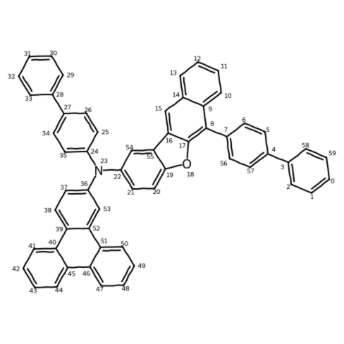 c1ccc(-c2ccc(-c3c4ccccc4cc4c3oc3ccc(N(c5ccc(-c6ccccc6)cc5)c5ccc6c7ccccc7c7ccccc7c6c5)cc34)cc2)cc1